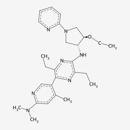 CCO[C@@H]1CN(c2ccccn2)C[C@H]1Nc1nc(CC)c(-c2cnc(N(C)C)cc2C)nc1CC